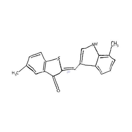 Cc1ccc2c(c1)C(=O)/C(=C/c1c[nH]c3c(C)cccc13)S2